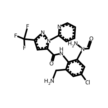 NCc1cc(Cl)cc(N(N)C=O)c1NC(=O)c1cc(C(F)(F)F)nn1-c1ccccn1